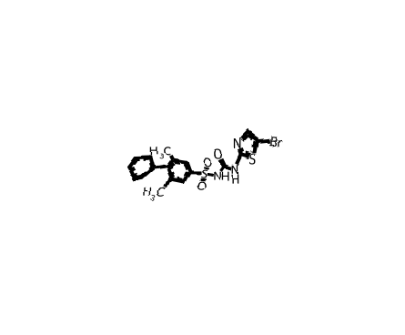 Cc1cc(S(=O)(=O)NC(=O)Nc2ncc(Br)s2)cc(C)c1-c1ccccc1